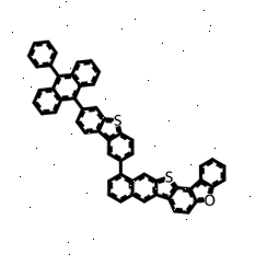 c1ccc(-c2c3ccccc3c(-c3ccc4c(c3)sc3ccc(-c5cccc6cc7c(cc56)sc5c7ccc6oc7ccccc7c65)cc34)c3ccccc23)cc1